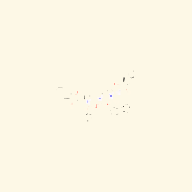 O=C1C(=Cc2cc3sc4c5sc6cc(N=c7c(=O)c8cc9ccccc9cc8c7=O)n(C(=O)OCc7ccccc7)c6c5n(C(=O)OCc5ccccc5)c4c3n2C(=O)OCc2ccccc2)C(=O)c2cc3ccccc3cc21